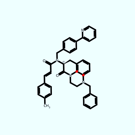 Cc1ccc(C=CC(=O)N(Cc2ccc(-c3ccccn3)cc2)[C@@H](Cc2ccccc2)C(=O)N2CCN(Cc3ccccc3)CC2)cc1